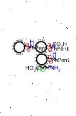 CCCCCN(C(=O)O)C(=O)OC1CCCCCCCCCCC1.CCCCCNC(=O)OC1CCCCCCCCCCC1.CCCCCNC(=O)OC1CCCCCCCCCCC1.Cl.NCCCCCC(=O)O